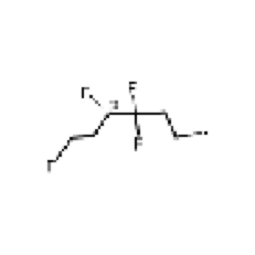 [CH2]CCC(F)(F)[C@@H](F)CCF